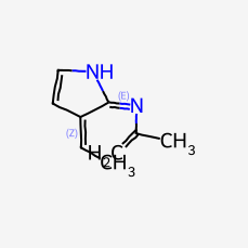 C=C(C)/N=C1/NC=C/C1=C/C